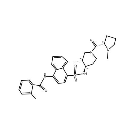 Cc1ccccc1C(=O)Nc1ccc(S(=O)(=O)N[C@@H]2CCN(C(=O)[C@@H]3CCCN3C)C[C@H]2C)c2ccccc12